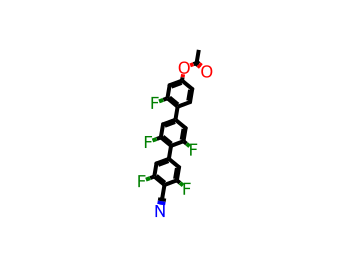 CC(=O)Oc1ccc(-c2cc(F)c(-c3cc(F)c(C#N)c(F)c3)c(F)c2)c(F)c1